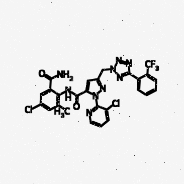 Cc1cc(Cl)cc(C(N)=O)c1NC(=O)c1cc(Cn2nnc(-c3ccccc3C(F)(F)F)n2)nn1-c1ncccc1Cl